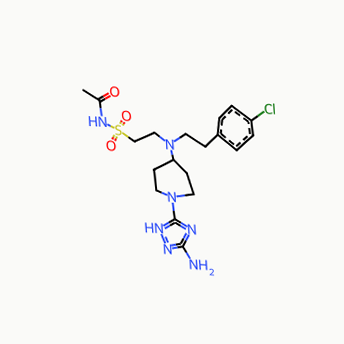 CC(=O)NS(=O)(=O)CCN(CCc1ccc(Cl)cc1)C1CCN(c2nc(N)n[nH]2)CC1